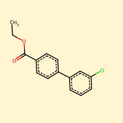 CCOC(=O)c1ccc(-c2cccc(Cl)c2)cc1